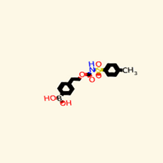 Cc1ccc(S(=O)(=O)NC(=O)OCCc2ccc(B(O)O)cc2)cc1